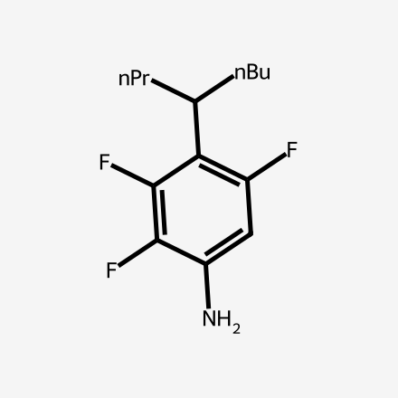 CCCCC(CCC)c1c(F)cc(N)c(F)c1F